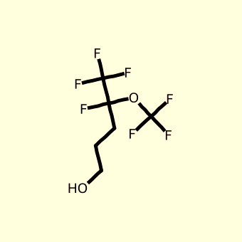 OCCCC(F)(OC(F)(F)F)C(F)(F)F